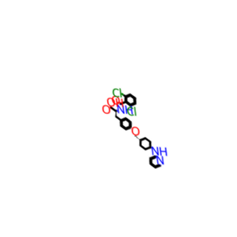 O=C(N[C@@H](Cc1ccc(OC[C@H]2CC[C@@H](Nc3ccccn3)CC2)cc1)C(=O)O)c1c(Cl)cccc1Cl